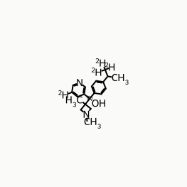 [2H]c1cncc([C@@](O)(c2ccc(C(C)C([2H])([2H])[2H])cc2)C2(C)CN(C)C2)c1